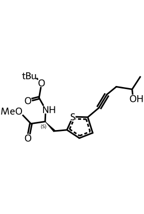 COC(=O)[C@H](Cc1ccc(C#CCC(C)O)s1)NC(=O)OC(C)(C)C